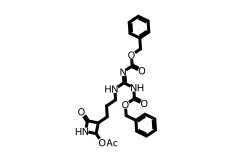 CC(=O)OC1NC(=O)C1CCCNC(=NC(=O)OCc1ccccc1)NC(=O)OCc1ccccc1